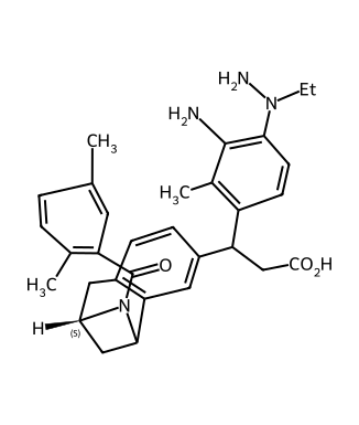 CCN(N)c1ccc(C(CC(=O)O)c2ccc3c(c2)C2C[C@H](C3)N2C(=O)c2cc(C)ccc2C)c(C)c1N